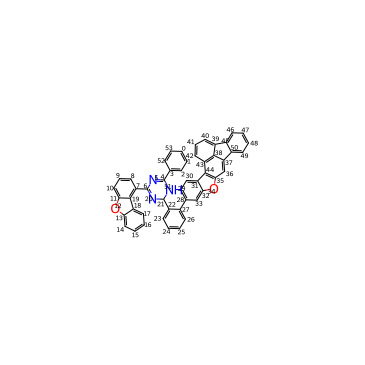 c1ccc(C2=NC(c3cccc4oc5ccccc5c34)=NC(c3ccccc3-c3ccc4c(c3)oc3cc5c6c(cccc6c34)-c3ccccc3-5)N2)cc1